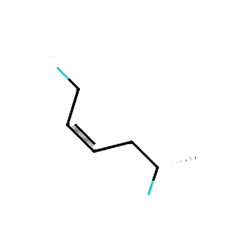 C[C@H](F)C/C=C\CF